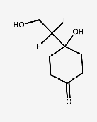 O=C1CCC(O)(C(F)(F)CO)CC1